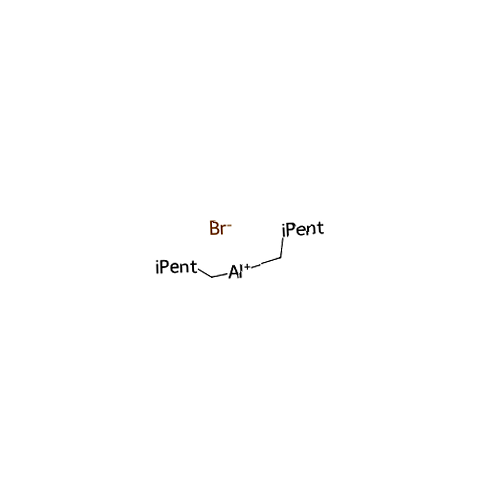 CCCC(C)[CH2][Al+][CH2]C(C)CCC.[Br-]